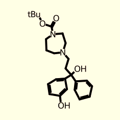 CC(C)(C)OC(=O)N1CCCN(CCC(O)(c2ccccc2)c2cccc(O)c2)CC1